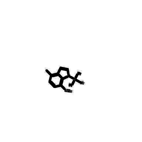 COc1ccc(C)c2ccn(S(C(C)C)(C(C)C)C(C)C)c12